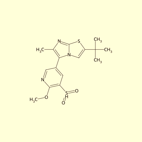 COc1ncc(-c2c(C)nc3sc(C(C)(C)C)cn23)cc1[SH](=O)=O